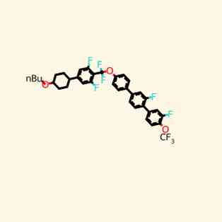 CCCCOC1CCC(c2cc(F)c(C(F)(F)Oc3ccc(-c4ccc(-c5ccc(OC(F)(F)F)c(F)c5)c(F)c4)cc3)c(F)c2)CC1